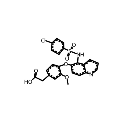 COc1cc(CC(=O)O)ccc1Oc1ccc2ncccc2c1NS(=O)(=O)c1ccc(Cl)cc1